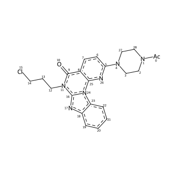 CC(=O)N1CCN(c2ccc3c(=O)n(CCCCl)c4nc5ccccc5n4c3n2)CC1